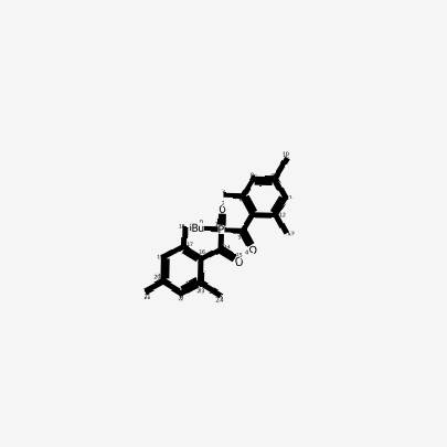 CCC(C)P(=O)(C(=O)c1c(C)cc(C)cc1C)C(=O)c1c(C)cc(C)cc1C